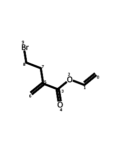 C=COC(=O)C(=C)CCBr